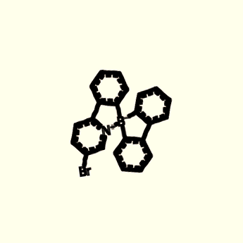 Brc1ccc2[n+](c1)[B-]1(c3ccccc3-c3ccccc31)c1ccccc1-2